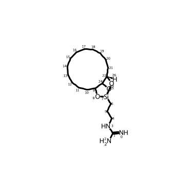 N=C(N)NCCC[Si]12OC3CCCCCCCCCCCC[C@H](O1)C3O2